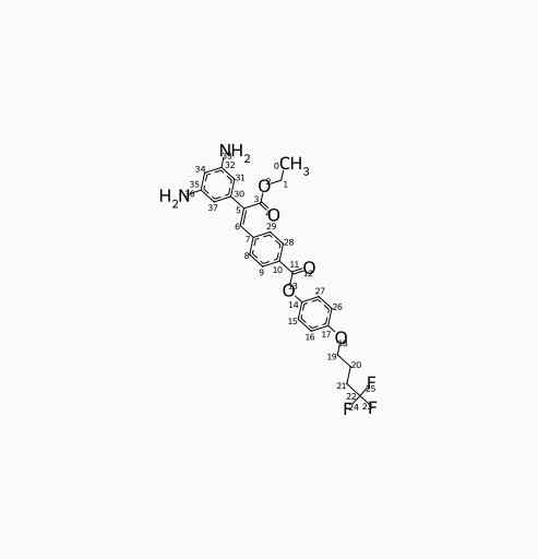 CCOC(=O)C(=Cc1ccc(C(=O)Oc2ccc(OCCCC(F)(F)F)cc2)cc1)c1cc(N)cc(N)c1